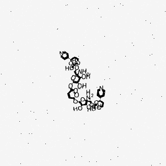 N[C@]1(CO[PH]2(O)OCC[C@@H](c3ccncc3)O2)O[C@@H](OC(=O)/C=C\C(=O)O[C@@H]2O[C@](N)(CO[PH]3(O)OCC[C@@H](c4ccncc4)O3)[C@@H](O)[C@@H]2O)[C@@H](O)[C@@H]1O